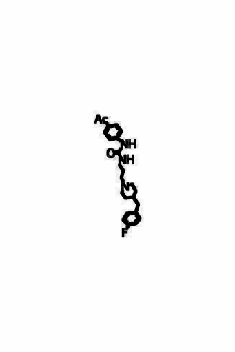 CC(=O)c1ccc(NC(=O)NCCCN2CCC(Cc3ccc(F)cc3)CC2)cc1